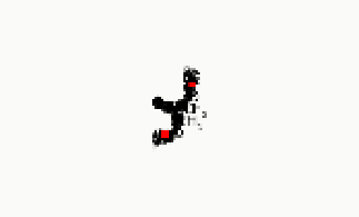 Cc1cc(N(c2ccc(-c3ccccc3)cc2)c2ccc(COC(=O)c3ccc(OC(F)(C(F)(F)F)C(F)(F)F)cc3)c(C)c2)ccc1COC(=O)c1ccc(OC(F)(C(F)(F)F)C(F)(F)F)cc1